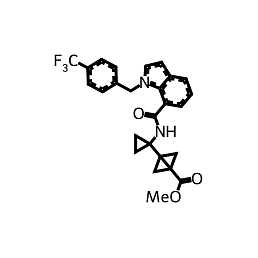 COC(=O)C12CC1(C1(NC(=O)c3cccc4ccn(Cc5ccc(C(F)(F)F)cc5)c34)CC1)C2